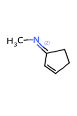 C/N=C1\C=CCC1